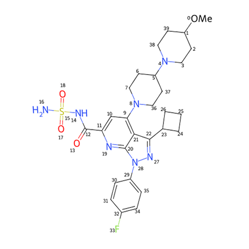 COC1CCN(C2CCN(c3cc(C(=O)NS(N)(=O)=O)nc4c3c(C3CCC3)nn4-c3ccc(F)cc3)CC2)CC1